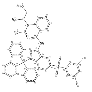 COCC(C)N(C(=O)C(F)(F)F)c1cnccc1C(=O)Nc1nn(C(c2ccccc2)(c2ccccc2)c2ccccc2)c2ccc(S(=O)(=O)c3cc(F)cc(F)c3)cc12